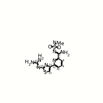 CNS(=O)(=O)N=C(N)c1cccc(-c2csc(N=C(N)N)n2)n1